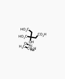 CC(=O)O.CC(=O)[O-].O=C(O)CC(O)(CC(=O)O)C(=O)O.[Na+]